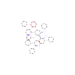 c1ccc(-c2ccnc(-c3c(-c4ccccc4)c4c(c(=c5cccc6c5=Nc5ccccc5-6)c3C(c3cccs3)c3ccnc(-c5ccccc5)c3-c3ccccc3)=Nc3ccccc3-4)c2-c2ccccc2)cc1